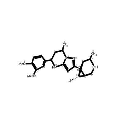 COc1ccc(C2CC(C(F)(F)F)n3nc([C@]45C6CNC(C)C4[C@H]65)cc3N2)cc1OC